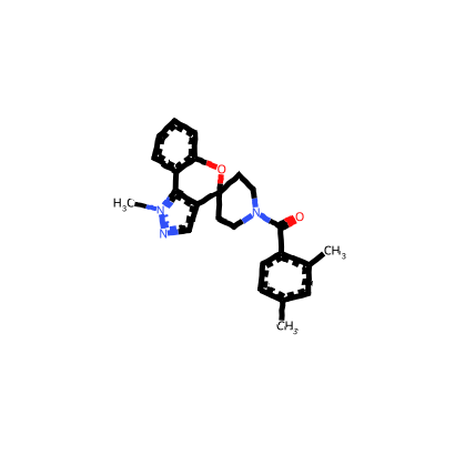 Cc1ccc(C(=O)N2CCC3(CC2)Oc2ccccc2-c2c3cnn2C)c(C)c1